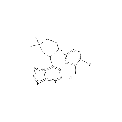 CC1(C)CCCN(c2c(-c3c(F)ccc(F)c3F)c(Cl)nc3ncnn23)C1